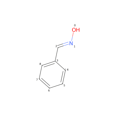 ON=Cc1[c]cccc1